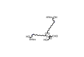 CCCCCC[C@@H](O)C/C=C\CCCCCCCC(=O)OC(=O)CCCCCCC/C=C\C[C@H](O)CCCCCC.O=Cc1ccc(CO)o1